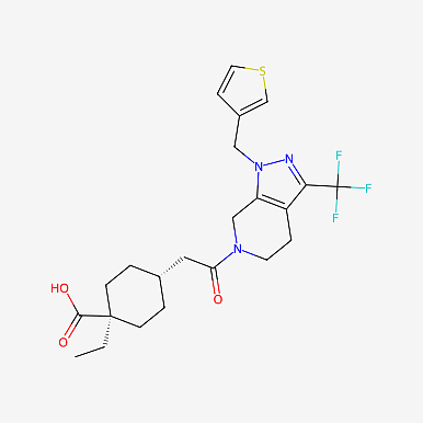 CC[C@]1(C(=O)O)CC[C@H](CC(=O)N2CCc3c(C(F)(F)F)nn(Cc4ccsc4)c3C2)CC1